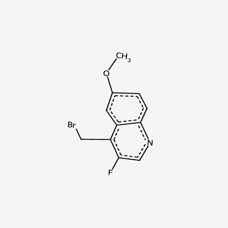 COc1ccc2ncc(F)c(CBr)c2c1